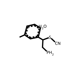 Cc1cccc(C(CP)SC#N)c1.O